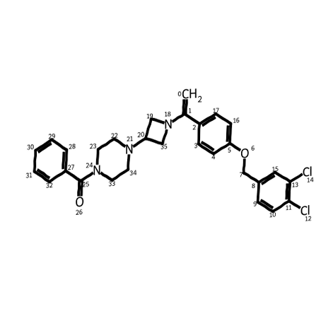 C=C(c1ccc(OCc2ccc(Cl)c(Cl)c2)cc1)N1CC(N2CCN(C(=O)c3ccccc3)CC2)C1